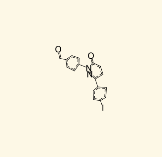 O=Cc1ccc(-n2nc(-c3ccc(I)cc3)ccc2=O)cc1